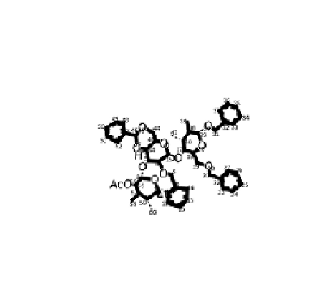 CCC1O[C@@H](O[C@@H]2C(OCc3ccccc3)[C@H](O[C@@H]3C(COCc4ccccc4)O[C@@H](OCc4ccccc4)C(C)[C@H]3C)OC3COC(c4ccccc4)O[C@H]32)[C@@H](OC(C)=O)C(C)[C@H]1C